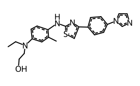 CCN(CCO)c1ccc(Nc2nc(-c3ccc(-n4ccnc4)cc3)cs2)c(C)c1